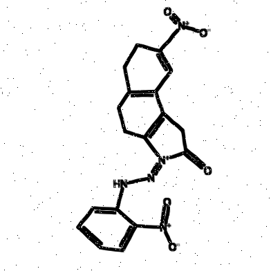 O=C1CC2=C(CCC3=C2C=C([N+](=O)[O-])CC3)[N+]1=NNc1ccccc1[N+](=O)[O-]